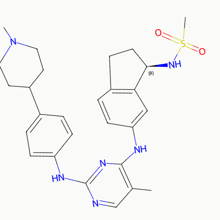 Cc1cnc(Nc2ccc(C3CCN(C)CC3)cc2)nc1Nc1ccc2c(c1)[C@H](NS(C)(=O)=O)CC2